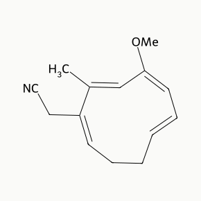 COC1=C/C=C/CC/C=C(CC#N)\C(C)=C\1